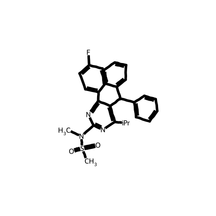 CC(C)c1nc(N(C)S(C)(=O)=O)nc(-c2ccc(F)cc2)c1[C](c1ccccc1)c1ccccc1